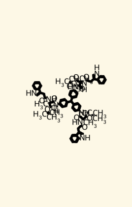 CC(C)(C)OC(=O)[C@@](C)(NC(=O)Cc1c[nH]c2ccccc12)C(=O)Nc1ccc(C(c2ccc(NC(=O)[C@](C)(NC(=O)Cc3c[nH]c4ccccc34)C(=O)OC(C)(C)C)cc2)c2ccc(NC(=O)[C@](C)(NC(=O)Cc3c[nH]c4ccccc34)C(=O)OC(C)(C)C)cc2)cc1